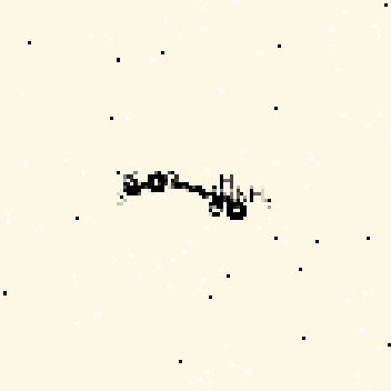 Nc1ccccc1NC(=O)CCCCCCOc1ccc(-c2cc(=S)ss2)cc1